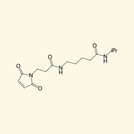 CC(C)NC(=O)CCCCNC(=O)CCN1C(=O)C=CC1=O